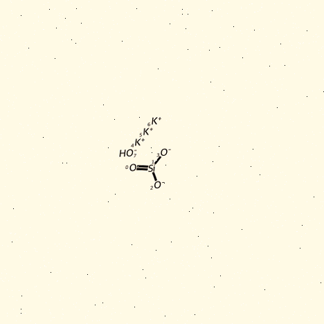 O=[Si]([O-])[O-].[K+].[K+].[K+].[OH-]